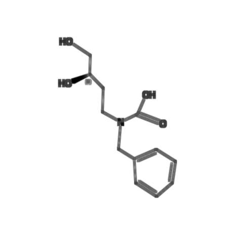 O=C(O)N(CC[C@@H](O)CO)Cc1ccccc1